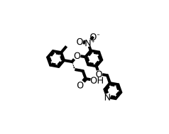 Cc1ccccc1[C@@H](CCC(=O)O)Oc1cc(OCc2cccnc2)ccc1[N+](=O)[O-]